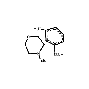 CCCCN1CCOCC1.Cc1cccc(S(=O)(=O)O)c1